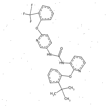 CC(C)(C)c1ccccc1Oc1ncccc1NC(=O)Nc1ccc(Oc2ccccc2C(F)(F)F)nc1